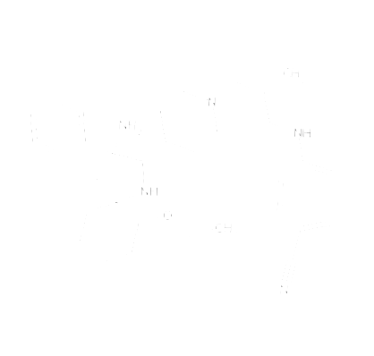 CCOC1CCCCC12CC(N)(c1ccccc1)C(C1CCN(CC(C)CNC3=CCC=C(C#N)C=C3)CC1)N2